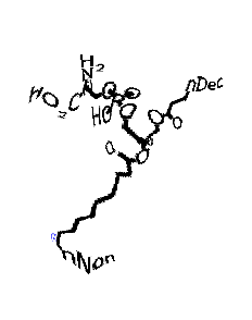 CCCCCCCCC/C=C\CCCCCCCC(=O)O[C@H](COC(=O)CCCCCCCCCCCC)COP(=O)(O)OC[C@H](N)C(=O)O